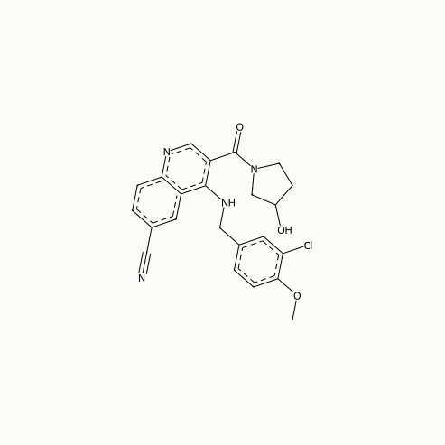 COc1ccc(CNc2c(C(=O)N3CCC(O)C3)cnc3ccc(C#N)cc23)cc1Cl